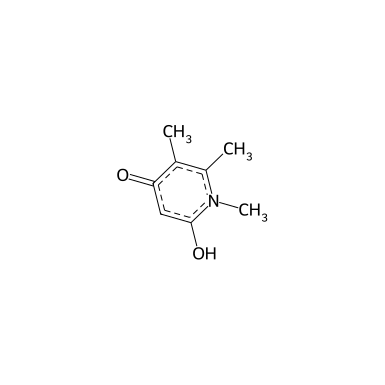 Cc1c(C)n(C)c(O)cc1=O